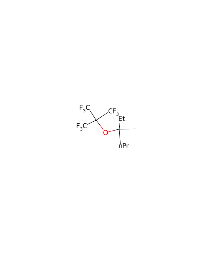 CCCC(C)(CC)OC(C(F)(F)F)(C(F)(F)F)C(F)(F)F